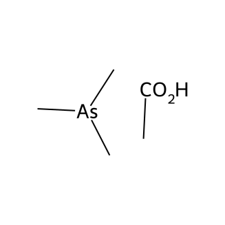 CC(=O)O.C[As](C)C